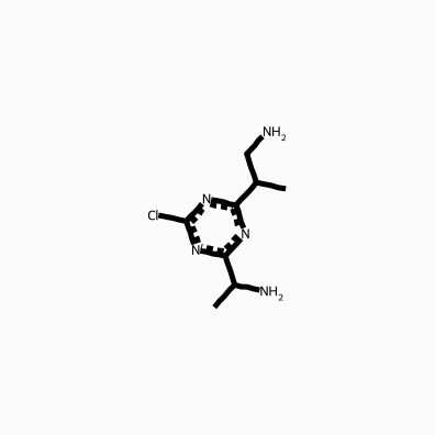 CC(N)c1nc(Cl)nc(C(C)CN)n1